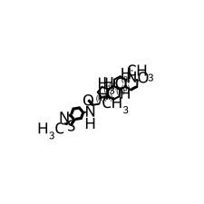 Cc1nc2ccc(NC(=O)C[C@H]3CC[C@H]4[C@@H]5CC[C@H]6N(C)C(=O)C=C[C@]6(C)[C@H]5CC[C@]34C)cc2s1